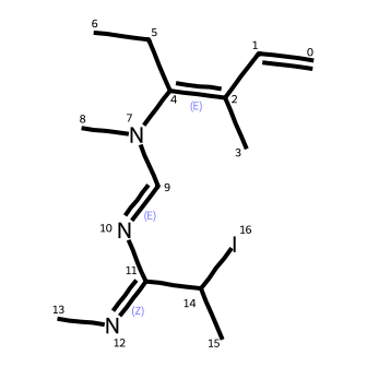 C=C/C(C)=C(\CC)N(C)/C=N/C(=N\C)C(C)I